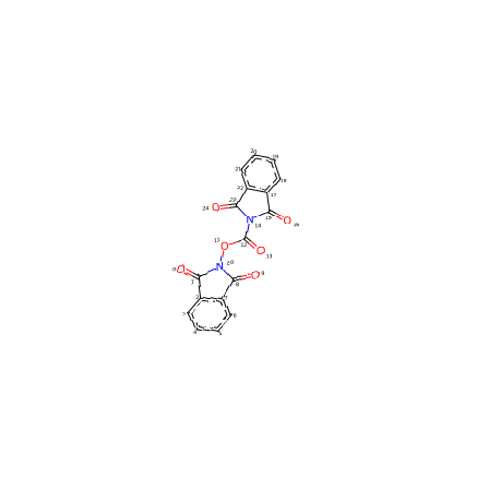 O=C1c2ccccc2C(=O)N1OC(=O)N1C(=O)c2ccccc2C1=O